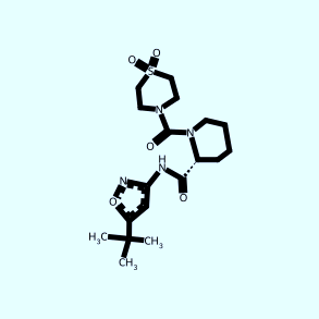 CC(C)(C)c1cc(NC(=O)[C@H]2CCCCN2C(=O)N2CCS(=O)(=O)CC2)no1